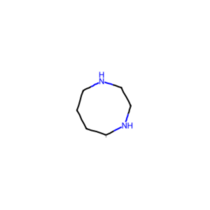 [CH]1CCCNCCN1